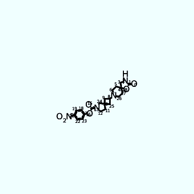 O=C1NCC2(CCN(C3CC4(CCN(C(=O)Oc5ccc([N+](=O)[O-])cc5)C4)C3)CC2)O1